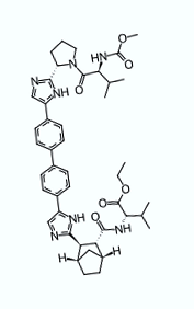 CCOC(=O)[C@@H](NC(=O)[C@@H]1[C@@H]2CC[C@@H](C2)[C@H]1c1ncc(-c2ccc(-c3ccc(-c4cnc([C@@H]5CCCN5C(=O)[C@@H](NC(=O)OC)C(C)C)[nH]4)cc3)cc2)[nH]1)C(C)C